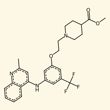 COC(=O)C1CCN(CCOc2cc(Nc3cc(C)nc4ccccc34)cc(C(F)(F)F)c2)CC1